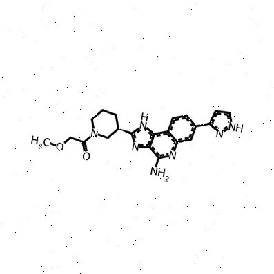 COCC(=O)N1CCC[C@@H](c2nc3c(N)nc4cc(-c5cc[nH]n5)ccc4c3[nH]2)C1